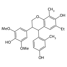 CCc1cc2c(c(C)c1O)OCC(c1cc(OC)c(O)c(OC)c1)C2c1ccc(O)cc1C